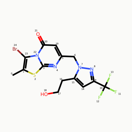 Cc1sc2nc(Cn3nc(C(F)(F)F)cc3CCO)cc(=O)n2c1Br